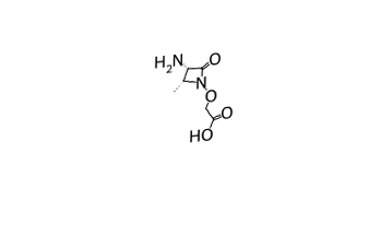 C[C@@H]1[C@H](N)C(=O)N1OCC(=O)O